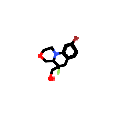 OCC1(F)Cc2ccc(Br)cc2N2CCOCC21